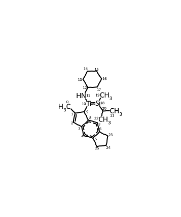 CC1=Cc2cc3c(cc2[CH]1[Ti]([NH]C1CCCCC1)=[Si](C)C(C)C)CCC3